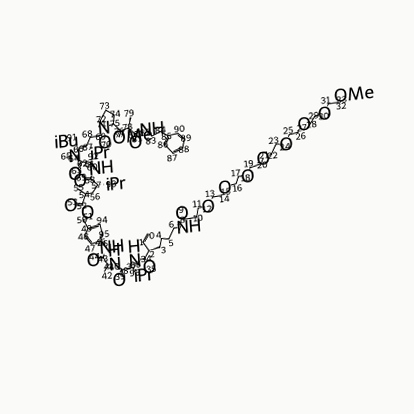 C=C[C@@H](CCCCNC(=O)CCOCCOCCOCCOCCOCCOCCOCCOC)C(=O)NC(C(=O)NC(C)C(=O)Nc1ccc(COC(=O)C(C)C[C@H](C(=O)N[C@H](C(=O)N(C)[C@H](CCC(=O)N2CCC[C@H]2[C@H](OC)[C@@H](C)C(=O)NCCc2ccccc2)[C@@H](C)CC)C(C)C)C(C)C)cc1)C(C)C